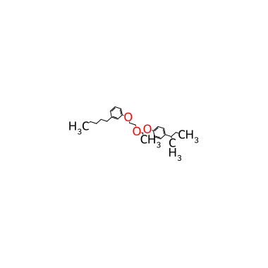 CCCCCc1cccc(OCCOC(C)Oc2ccc(C(C)CC)cc2)c1